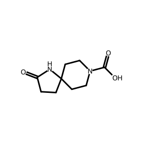 O=C1CCC2(CCN(C(=O)O)CC2)N1